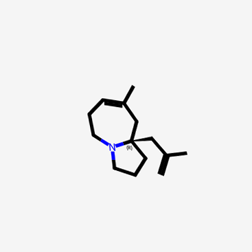 C=C(C)C[C@@]12CCCN1CCC=C(C)C2